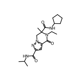 CCN1C(=O)c2cc(C(=O)NC(C)C)nn2CC1(C)C(=O)NC1CCCC1